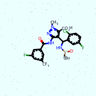 Cn1nc(NC(=O)c2cc(F)cc(C(F)(F)F)c2)c(C(N[S+]([O-])C(C)(C)C)c2cc(F)ccc2Cl)c1C(=O)O